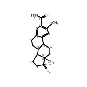 Cc1cc2c(cc1C(N)=O)CCC1C2CC[C@]2(C)C(=O)CCC12